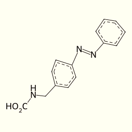 O=C(O)NCc1ccc(/N=N/c2ccccc2)cc1